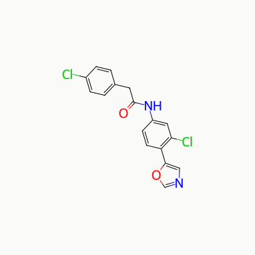 O=C(Cc1ccc(Cl)cc1)Nc1ccc(-c2cnco2)c(Cl)c1